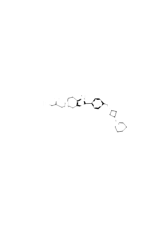 OCC(O)CN1CCc2nc(-c3ccc(O[C@H]4C[C@H](N5CCCCC5)C4)cc3)sc2C1